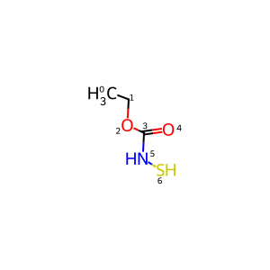 CCOC(=O)NS